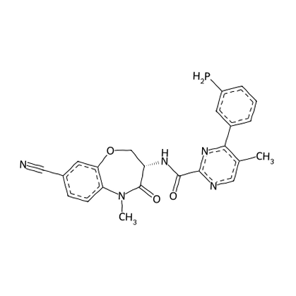 Cc1cnc(C(=O)N[C@H]2COc3cc(C#N)ccc3N(C)C2=O)nc1-c1cccc(P)c1